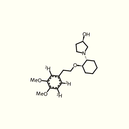 [2H]c1c([2H])c(OC)c(OC)c([2H])c1CCO[C@@H]1CCCC[C@H]1N1CC[C@@H](O)C1